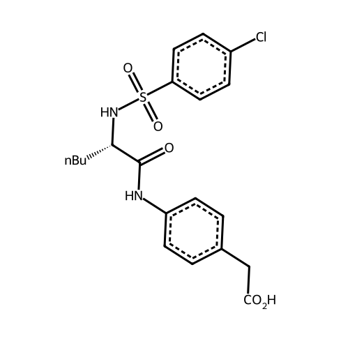 CCCC[C@H](NS(=O)(=O)c1ccc(Cl)cc1)C(=O)Nc1ccc(CC(=O)O)cc1